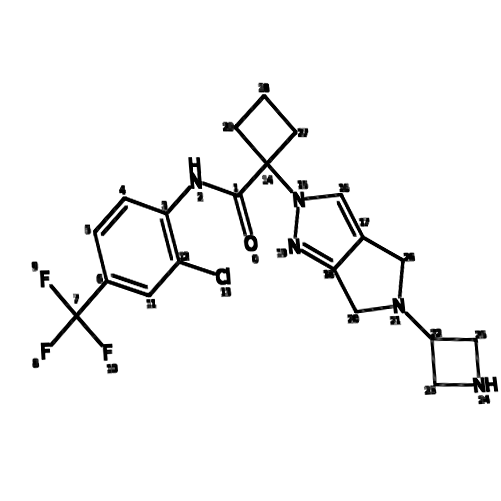 O=C(Nc1ccc(C(F)(F)F)cc1Cl)C1(n2cc3c(n2)CN(C2CNC2)C3)CCC1